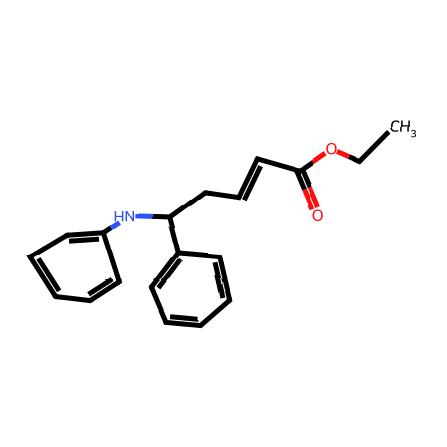 CCOC(=O)C=CCC(Nc1ccccc1)c1ccccc1